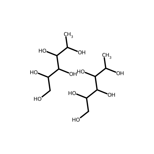 CC(O)C(O)C(O)C(O)CO.CC(O)C(O)C(O)C(O)CO